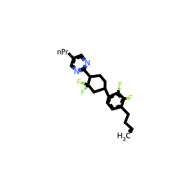 C=CCCc1ccc(C2CCC(c3ncc(CCC)cn3)C(F)(F)C2)c(F)c1F